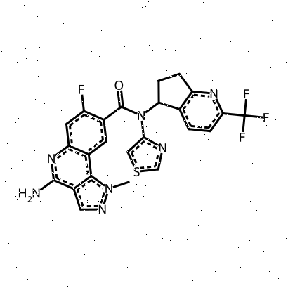 Cn1ncc2c(N)nc3cc(F)c(C(=O)N(c4cscn4)C4CCc5nc(C(F)(F)F)ccc54)cc3c21